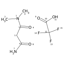 CN(C)C(=O)CC(N)=O.O=C(O)C(F)(F)F